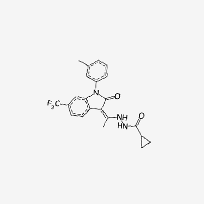 C/C(NNC(=O)C1CC1)=C1/C(=O)N(c2cccc(C)c2)c2cc(C(F)(F)F)ccc21